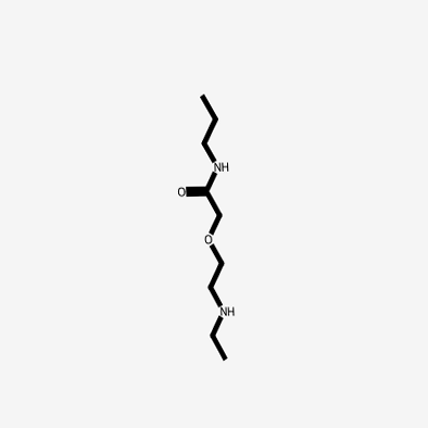 CCCNC(=O)COCCNCC